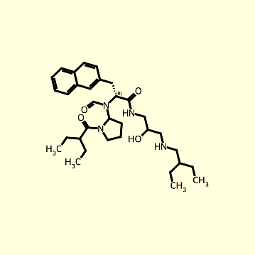 CCC(CC)CNCC(O)CNC(=O)[C@@H](Cc1ccc2ccccc2c1)N(C=O)C1CCCN1C(=O)C(CC)CC